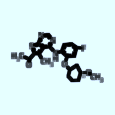 CO[C@H]1CCCC(Oc2cc(F)ccc2Nc2ncnc3sc(C(C)=O)c(C)c23)C1